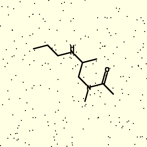 CCCNC(C)CN(C)C(C)=O